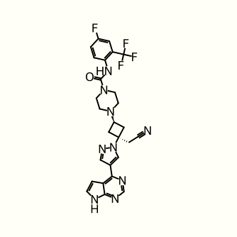 N#CC[C@]1(n2cc(-c3ncnc4[nH]ccc34)cn2)C[C@@H](N2CCN(C(=O)Nc3ccc(F)cc3C(F)(F)F)CC2)C1